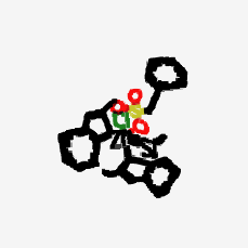 CC1=Cc2ccccc2[CH]1[Zr]([Cl])([O]S(=O)(=O)Cc1ccccc1)([CH]1C(C)=Cc2ccccc21)=[Si](C)C